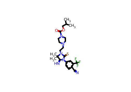 CC(C)COC(=O)N1CCN(CCN2C(=S)N(c3ccc(C#N)c(C(F)(F)F)c3)C(=N)C2(C)C)CC1